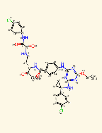 COC(=O)[C@H](CCNC(=O)C(=O)Nc1ccc(Cl)cc1)NC(=O)c1ccc(Nc2nc(NC3(c4ccc(Cl)cc4)CC3)nc(OCC(F)(F)F)n2)cc1